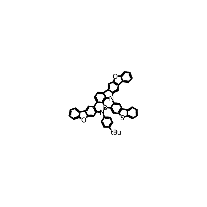 CC(C)(C)c1ccc(N2B3c4cc5sc6ccccc6c5cc4-n4c5cc6c(cc5c5ccc(c3c54)-c3cc4c(cc32)oc2ccccc24)oc2ccccc26)cc1